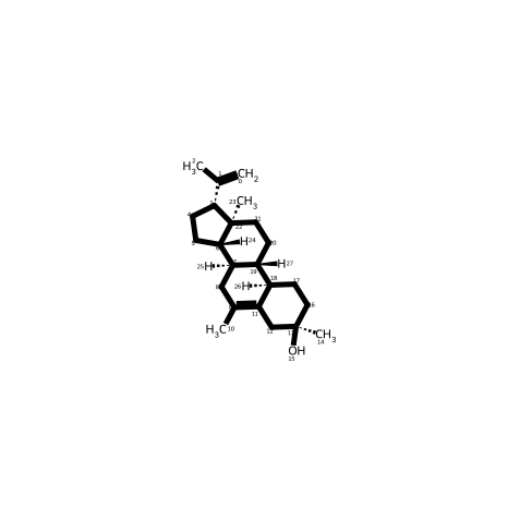 C=C(C)[C@H]1CC[C@H]2[C@@H]3CC(C)=C4C[C@](C)(O)CC[C@@H]4[C@H]3CC[C@]12C